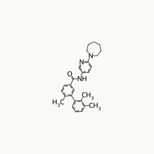 Cc1ccc(C(=O)Nc2ccc(N3CCCCCC3)nc2)cc1-c1cccc(C)c1C